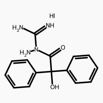 I.N=C(N)N(N)C(=O)C(O)(c1ccccc1)c1ccccc1